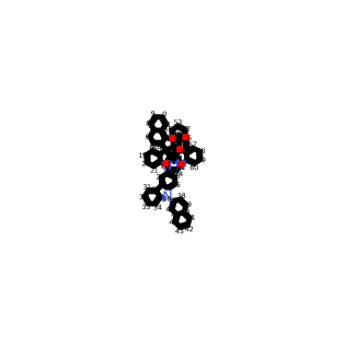 C1=CC2=C3C(=CCC2C=C1)C(c1ccccc1)(c1ccccc1N(c1ccc2c(c1)c1ccccc1n2-c1ccc2ccccc2c1)c1cc(-c2ccccc2)c2ccccc2n1)c1ccccc13